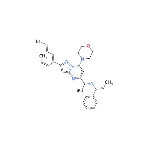 C\C=C/C(=C\C=C\CC)c1cc2nc(/C(=N/C(=C\C)c3ccccc3)C(C)CC)cc(N3CCOCC3)n2n1